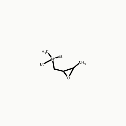 CC[N+](C)(CC)CC1OC1C.[I-]